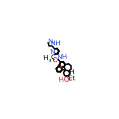 CC[C@@]1(O)CCC2(c3ccccc3)c3ccc(C(=O)Nc4ccc(C5CC=NN5)nc4C)cc3CCC[C@H]2C1